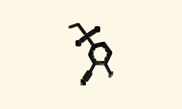 CCS(=O)(=O)c1ccc(F)c(C#N)c1